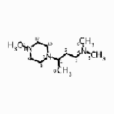 CC(CCN(C)C)N1CCN(C)CC1